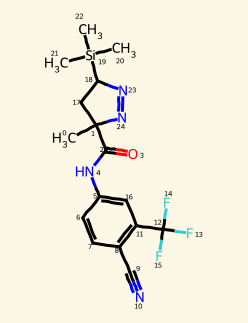 CC1(C(=O)Nc2ccc(C#N)c(C(F)(F)F)c2)CC([Si](C)(C)C)N=N1